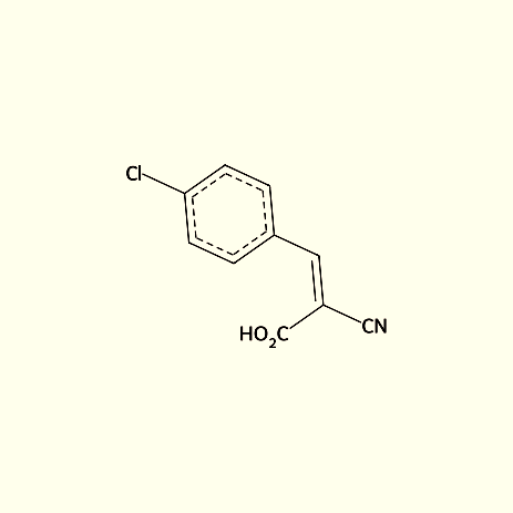 N#CC(=Cc1ccc(Cl)cc1)C(=O)O